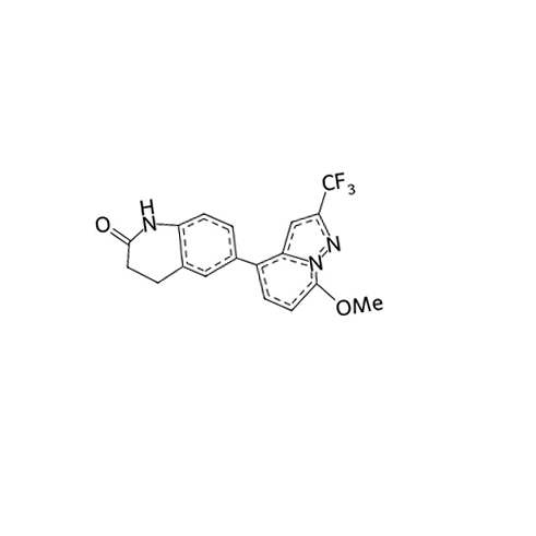 COc1ccc(-c2ccc3c(c2)CCC(=O)N3)c2cc(C(F)(F)F)nn12